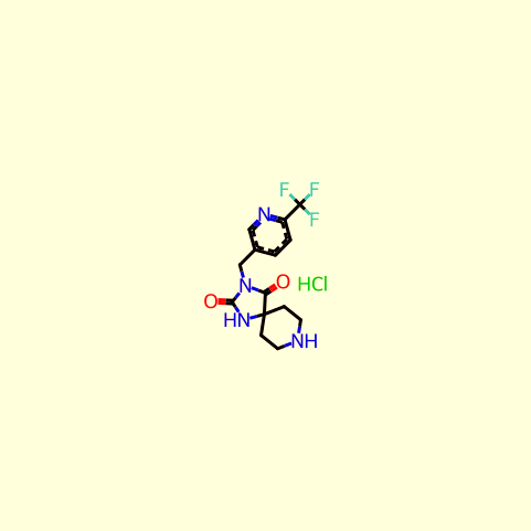 Cl.O=C1NC2(CCNCC2)C(=O)N1Cc1ccc(C(F)(F)F)nc1